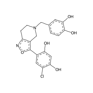 Oc1ccc(CN2CCc3noc(-c4cc(Cl)c(O)cc4O)c3C2)cc1O